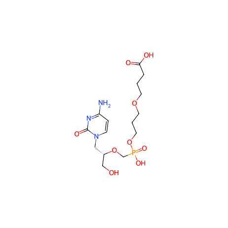 Nc1ccn(C[C@@H](CO)OCP(=O)(O)OCCCOCCCC(=O)O)c(=O)n1